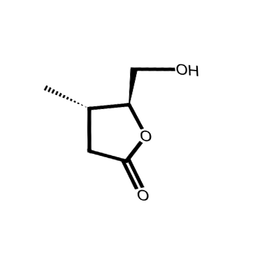 C[C@H]1CC(=O)O[C@@H]1CO